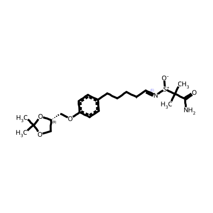 CC1(C)OC[C@@H](COc2ccc(CCC[CH]/C=N/[S+]([O-])C(C)(C)C(N)=O)cc2)O1